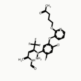 C=C(/C=C(\N(N)c1cc(Oc2cccnc2OCCCC(C)=O)c(Cl)cc1F)C(F)(F)F)NC=O